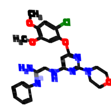 COc1cc(Cl)c(Oc2cc(NC/C(N)=N/c3ccccc3)nc(N3CCOCC3)n2)cc1OC